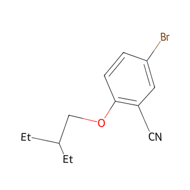 CCC(CC)COc1ccc(Br)cc1C#N